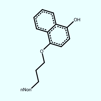 CCCCCCCCCCCCOc1ccc(O)c2ccccc12